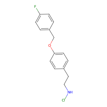 Fc1ccc(COc2ccc(CCNCl)cc2)cc1